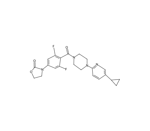 O=C(c1c(F)cc(N2CCOC2=O)cc1F)N1CCN(c2ccc(C3CC3)cn2)CC1